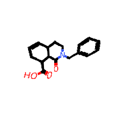 O=C(O)C1CC=CC2CCN(Cc3ccccc3)C(=O)C21